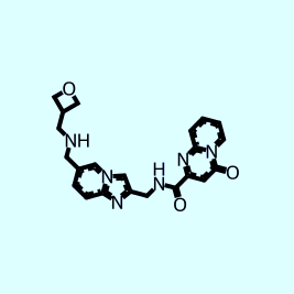 O=C(NCc1cn2cc(CNCC3COC3)ccc2n1)c1cc(=O)n2ccccc2n1